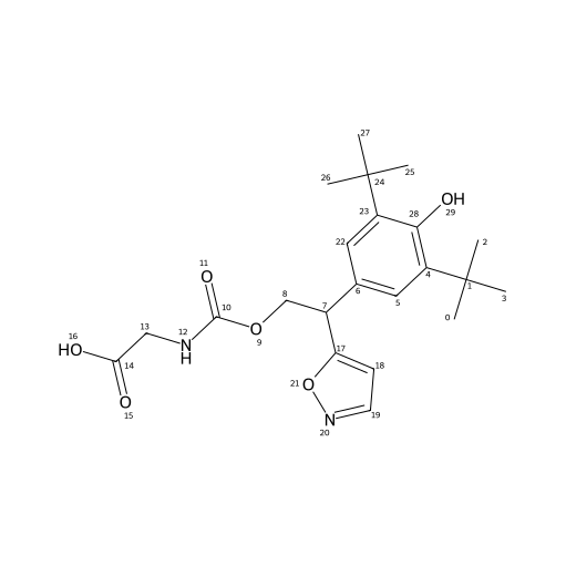 CC(C)(C)c1cc(C(COC(=O)NCC(=O)O)c2ccno2)cc(C(C)(C)C)c1O